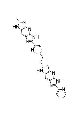 Cc1cccc(-c2nc3cc4[nH]c(CCc5ccc(-c6nc7cc8[nH]c(C)nc8nc7[nH]6)nc5)nc4nc3[nH]2)n1